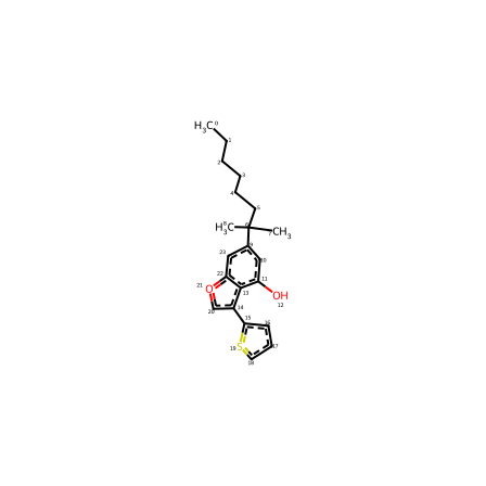 CCCCCCC(C)(C)c1cc(O)c2c(-c3cccs3)coc2c1